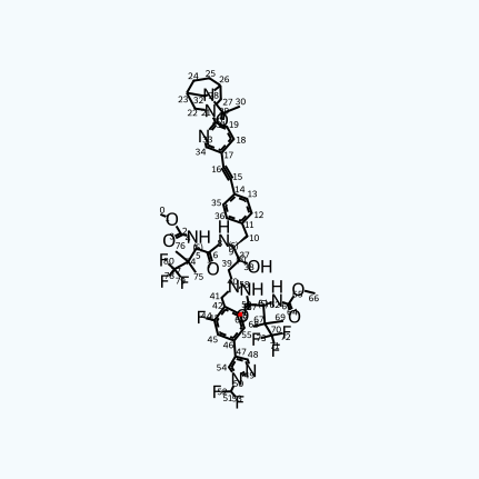 COC(=O)N[C@H](C(=O)N[C@@H](Cc1ccc(C#Cc2ccc(N3CC4CCC(C3)N(C(C)=O)C4)nc2)cc1)[C@@H](O)CN(Cc1c(F)cc(-c2cnn(C(F)F)c2)cc1F)NC(=O)[C@@H](NC(=O)OC)C(C)(C)C(F)(F)F)C(C)(C)C(F)(F)F